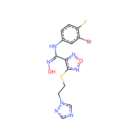 O/N=C(/Nc1ccc(F)c(Br)c1)c1nonc1SCCn1cncn1